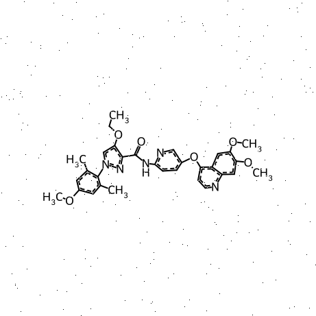 CCOc1cn(-c2c(C)cc(OC)cc2C)nc1C(=O)Nc1ccc(Oc2ccnc3cc(OC)c(OC)cc23)cn1